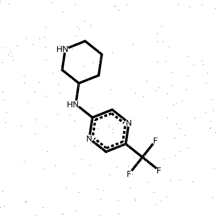 FC(F)(F)c1cnc(NC2CCCNC2)cn1